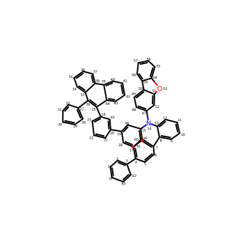 c1ccc(-c2ccc(-c3ccccc3N(c3cccc(-c4cccc(-c5c(-c6ccccc6)c6ccccc6c6ccccc56)c4)c3)c3ccc4c(c3)oc3ccccc34)cc2)cc1